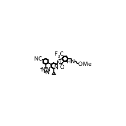 COCCNCc1cc2c(c(C(F)(F)F)c1)CN(c1cc(-c3ccc(C#N)cc3-c3nncn3C)cc(C3CC3)n1)C2=O